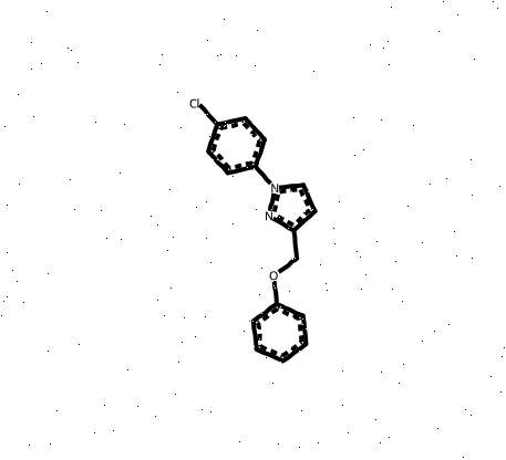 Clc1ccc(-n2ccc(COc3[c]cccc3)n2)cc1